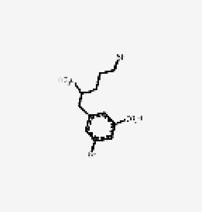 O=C(O)c1cc(Br)cc(CC(CCCS)C(=O)O)c1